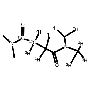 [2H]C([2H])N(C(=O)C([2H])([2H])[13C]([2H])([2H])[13C](=O)N(C)C)C([2H])([2H])[2H]